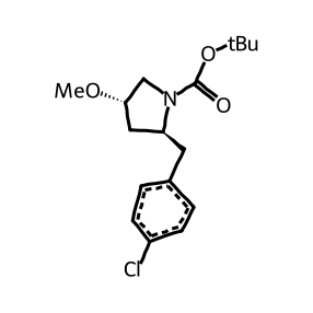 CO[C@H]1C[C@H](Cc2ccc(Cl)cc2)N(C(=O)OC(C)(C)C)C1